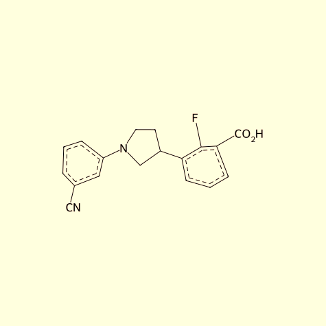 N#Cc1cccc(N2CCC(c3cccc(C(=O)O)c3F)C2)c1